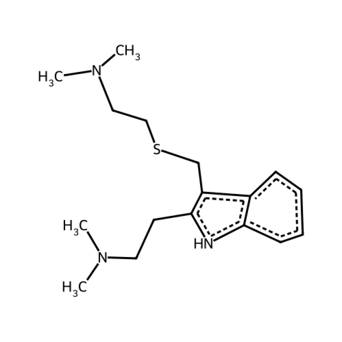 CN(C)CCSCc1c(CCN(C)C)[nH]c2ccccc12